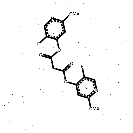 COc1cc(OC(=O)CC(=O)Oc2cc(OC)ncc2F)c(F)cn1